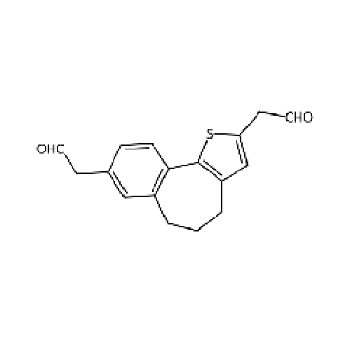 O=CCc1ccc2c(c1)CCCc1cc(CC=O)sc1-2